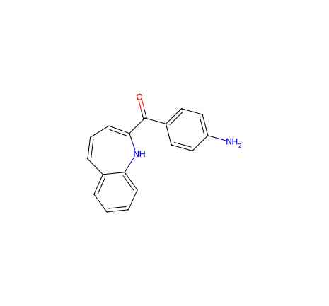 Nc1ccc(C(=O)C2=CC=Cc3ccccc3N2)cc1